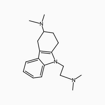 CN(C)CCn1c2c(c3ccccc31)CC(N(C)C)CC2